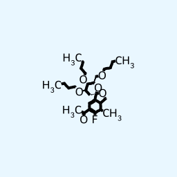 CCCCOC[C@H]1O[C@@]2(C[C@@H](OCCCC)[C@@H]1OCCCC)OCC1C2=CC(C(C)=O)=C(F)C1C